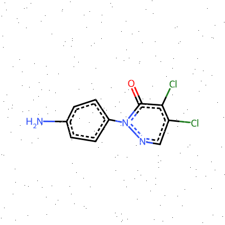 Nc1ccc(-n2ncc(Cl)c(Cl)c2=O)cc1